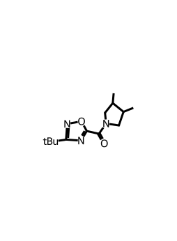 CC1CN(C(=O)c2nc(C(C)(C)C)no2)CC1C